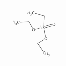 CCO[SH](=O)(CC)OCC